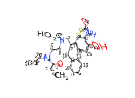 C=CC(=O)N(CCN(CC(Cc1ccccc1)c1ccc(O)c2[nH]c(=O)sc12)C(=O)O)CC(C)(C)C